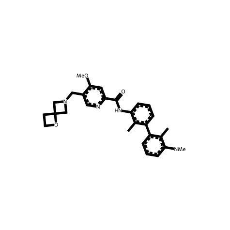 CNc1cccc(-c2cccc(NC(=O)c3cc(OC)c(CN4CC5(CCO5)C4)cn3)c2C)c1C